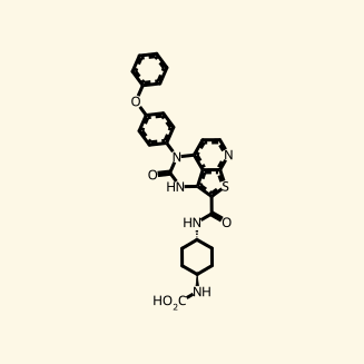 O=C(O)N[C@H]1CC[C@H](NC(=O)c2sc3nccc4c3c2NC(=O)N4c2ccc(Oc3ccccc3)cc2)CC1